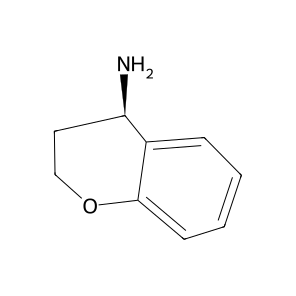 N[C@@H]1CCOc2ccccc21